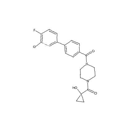 O=C(c1ccc(-c2ccc(F)c(Cl)c2)cc1)N1CCN(C(=O)C2(O)CC2)CC1